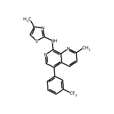 Cc1csc(Nc2ncc(-c3cccc(C(F)(F)F)c3)c3ccc(C)nc23)n1